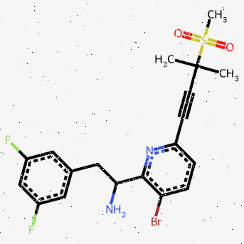 CC(C)(C#Cc1ccc(Br)c(C(N)Cc2cc(F)cc(F)c2)n1)S(C)(=O)=O